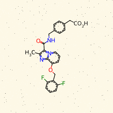 Cc1nc2c(OCc3c(F)cccc3F)cccn2c1C(=O)NCc1ccc(CC(=O)O)cc1